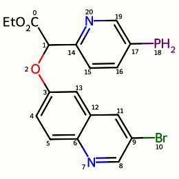 CCOC(=O)C(Oc1ccc2ncc(Br)cc2c1)c1ccc(P)cn1